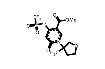 COC(=O)c1cn(C2(C)CCOC2)c(=O)cc1OS(=O)(=O)C(F)(F)F